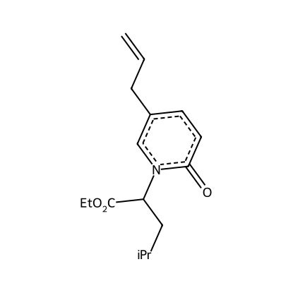 C=CCc1ccc(=O)n(C(CC(C)C)C(=O)OCC)c1